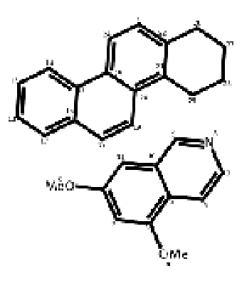 COc1cc(OC)c2ccncc2c1.c1ccc2c(c1)ccc1c3c(ccc12)CCCC3